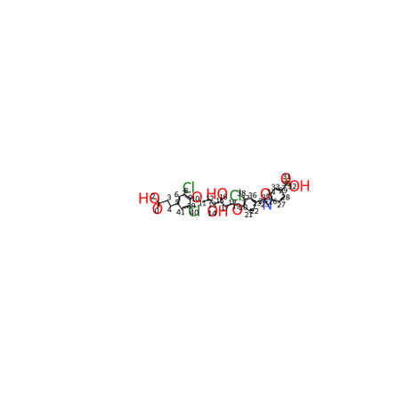 O=C(O)CCc1cc(Cl)c(OCCC(O)C(O)CCOc2ccc(-c3nc4ccc(C(=O)O)cc4o3)cc2Cl)c(Cl)c1